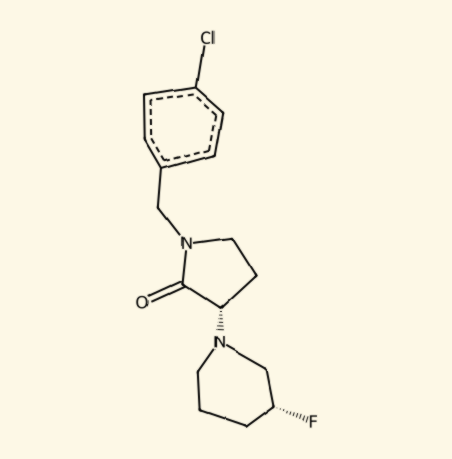 O=C1[C@@H](N2CCC[C@@H](F)C2)CCN1Cc1ccc(Cl)cc1